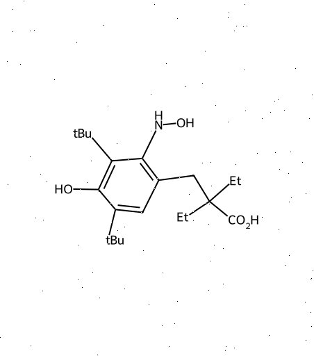 CCC(CC)(Cc1cc(C(C)(C)C)c(O)c(C(C)(C)C)c1NO)C(=O)O